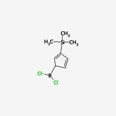 C[Si](C)(C)C1=CC(B(Cl)Cl)C=C1